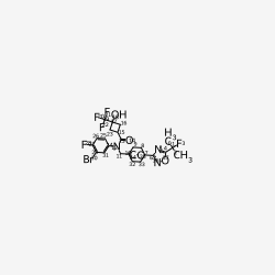 CC(C)(F)c1nc(C23CCC(CN(C(=O)C4CC(O)(C(F)(F)F)C4)c4ccc(F)c(Br)c4)(CC2)CC3)no1